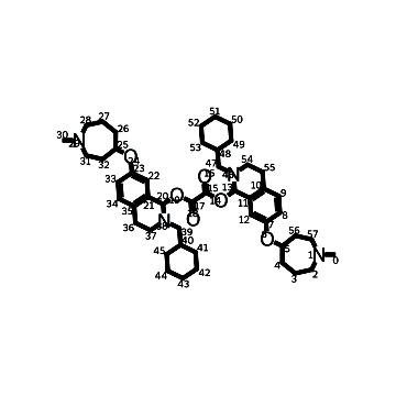 CN1CCCC(Oc2ccc3c(c2)C(OC(=O)C(=O)OC2c4cc(OC5CCCN(C)CC5)ccc4CCN2CC2CCCCC2)N(CC2CCCCC2)CC3)CC1